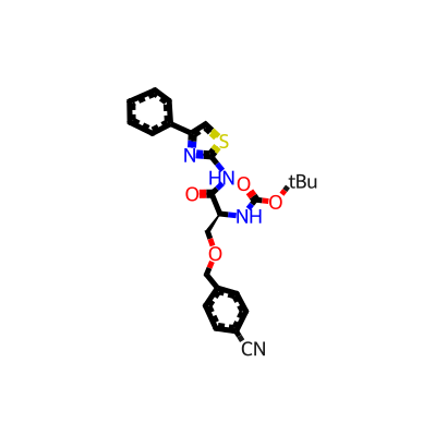 CC(C)(C)OC(=O)N[C@@H](COCc1ccc(C#N)cc1)C(=O)Nc1nc(-c2ccccc2)cs1